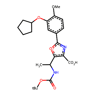 COc1ccc(-c2nc(C(=O)O)c(C(C)NC(=O)OC(C)(C)C)o2)cc1OC1CCCC1